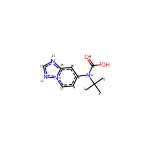 CC(C)(C)N(C(=O)O)c1ccn2ncnc2c1